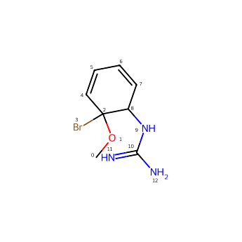 COC1(Br)C=CC=CC1NC(=N)N